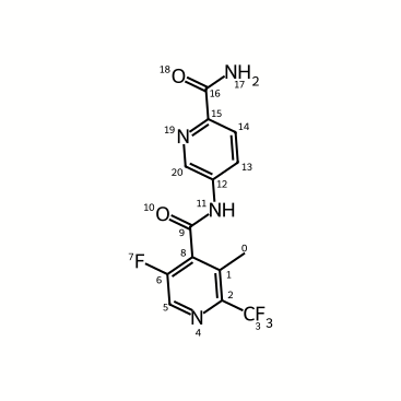 Cc1c(C(F)(F)F)ncc(F)c1C(=O)Nc1ccc(C(N)=O)nc1